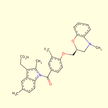 Cc1ccc2c(c1)c(CC(=O)O)c(C)n2C(=O)c1ccc(OC[C@@H]2CN(C)c3ccccc3O2)c(C(F)(F)F)c1